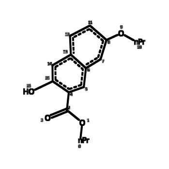 CCCOC(=O)c1cc2cc(OCCC)ccc2cc1O